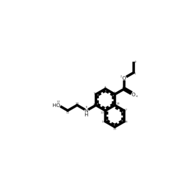 CCOC(=O)c1ccc(NCCO)c2ccccc12